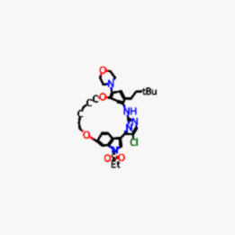 CCS(=O)(=O)n1cc2c3ccc(cc31)OCCCCCCOc1cc(c(CCC(C)(C)C)cc1N1CCOCC1)Nc1ncc(Cl)c-2n1